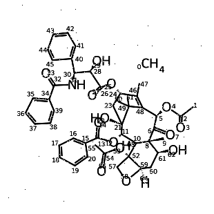 C.CC(=O)O[C@H]1C(=O)[C@@]2(C)[C@H]([C@H](OC(=O)c3ccccc3)[C@]3(O)C[C@H](OC(=O)[C@H](O)[C@@H](NC(=O)c4ccccc4)c4ccccc4)C(C)=C1C3(C)C)[C@]1(OC(C)=O)CO[C@@H]1C[C@@H]2O